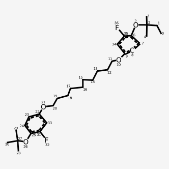 CCC(C)(C)Oc1ccc(OCCCCCCCCCCOc2ccc(OC(C)(C)C)c(F)c2)cc1F